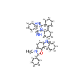 CN1c2ccc3c(c2OC1c1ccccc1)c1ccccc1n3-c1cccc(N(C(=N)c2ccccc2)C(=N)c2ccccc2)c1